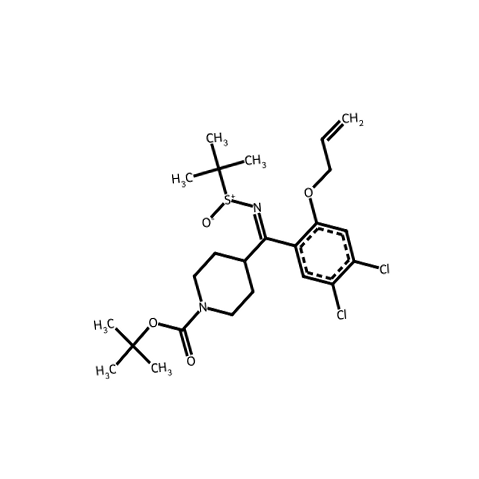 C=CCOc1cc(Cl)c(Cl)cc1/C(=N/[S+]([O-])C(C)(C)C)C1CCN(C(=O)OC(C)(C)C)CC1